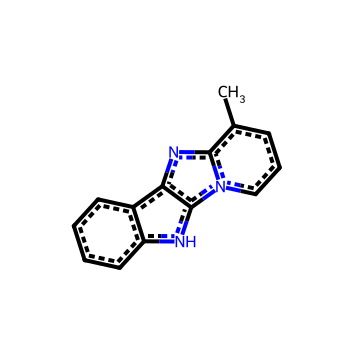 Cc1cccn2c1nc1c3ccccc3[nH]c12